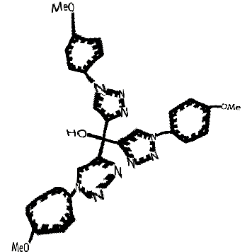 COc1ccc(-n2cc(C(O)(c3cn(-c4ccc(OC)cc4)nn3)c3cn(-c4ccc(OC)cc4)nn3)nn2)cc1